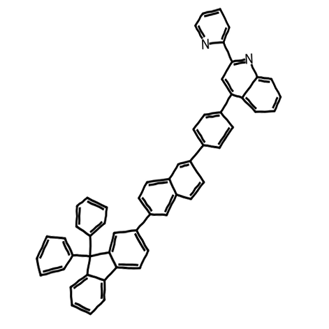 c1ccc(C2(c3ccccc3)c3ccccc3-c3ccc(-c4ccc5cc(-c6ccc(-c7cc(-c8ccccn8)nc8ccccc78)cc6)ccc5c4)cc32)cc1